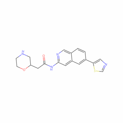 O=C(CC1CNCCO1)Nc1cc2cc(-c3cncs3)ccc2cn1